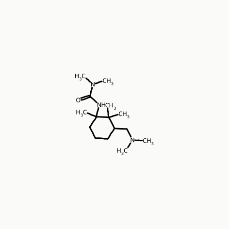 CN(C)CC1CCCC(C)(NC(=O)N(C)C)C1(C)C